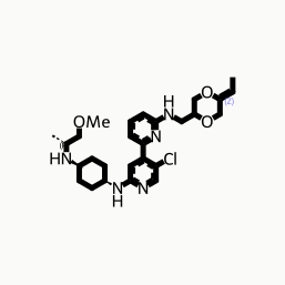 C/C=C1/COC(CNc2cccc(-c3cc(N[C@H]4CC[C@H](N[C@H](C)COC)CC4)ncc3Cl)n2)CO1